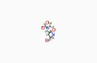 O=C1COCC2COc3ncc(Br)cc3CN12